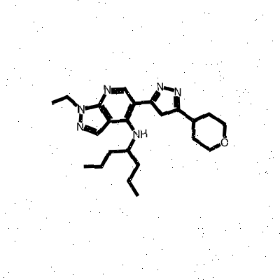 CCCC(CCC)Nc1c(C2=NN=C(C3CCOCC3)C2)cnc2c1cnn2CC